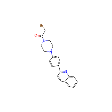 O=C(CBr)N1CCN(c2ccc(-c3ccc4ccccc4n3)cc2)CC1